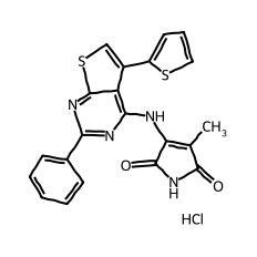 CC1=C(Nc2nc(-c3ccccc3)nc3scc(-c4cccs4)c23)C(=O)NC1=O.Cl